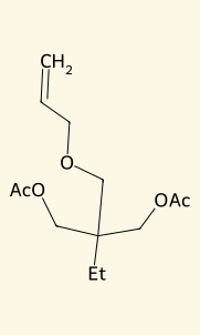 C=CCOCC(CC)(COC(C)=O)COC(C)=O